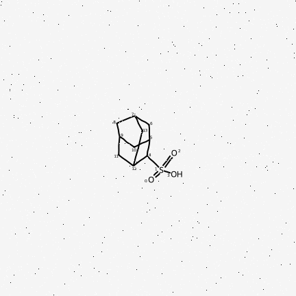 O=S(=O)(O)C1C2C[C]3CC(C2)CC1C3